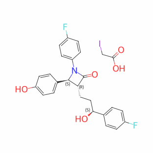 O=C(O)CI.O=C1[C@H](CC[C@H](O)c2ccc(F)cc2)[C@@H](c2ccc(O)cc2)N1c1ccc(F)cc1